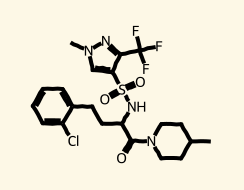 CC1CCN(C(=O)C(CCc2ccccc2Cl)NS(=O)(=O)c2cn(C)nc2C(F)(F)F)CC1